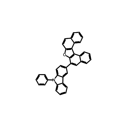 c1ccc(-n2c3ccccc3c3cc(-c4cc5ccccc5c5c4oc4ccc6ccccc6c45)ccc32)cc1